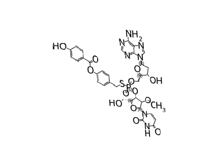 COC1C(O[P@](=O)(OC[C@H]2O[C@@H](n3cnc4c(N)ncnc43)CC2O)SCc2ccc(OC(=O)c3ccc(O)cc3)cc2)[C@@H](CO)O[C@H]1n1ccc(=O)[nH]c1=O